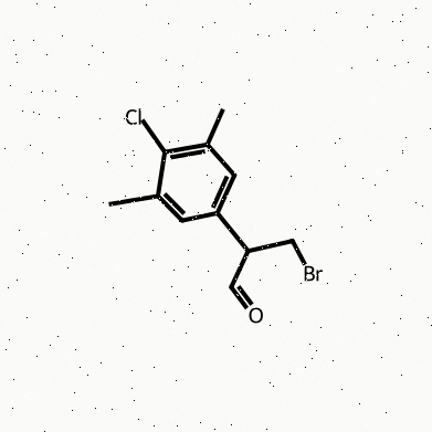 Cc1cc(C(C=O)CBr)cc(C)c1Cl